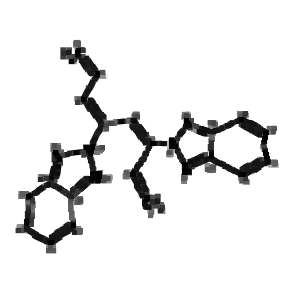 C=C/C=C(\C=C(/C=C)n1nc2ccccc2n1)n1nc2ccccc2n1